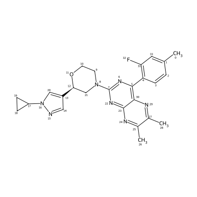 Cc1ccc(-c2nc(N3CCO[C@H](c4cnn(C5CC5)c4)C3)nc3nc(C)c(C)nc23)c(F)c1